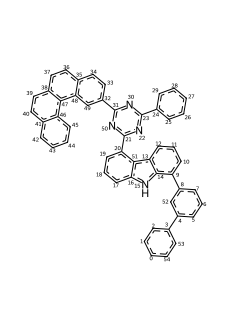 c1ccc(-c2cccc(-c3cccc4c3[nH]c3cccc(-c5nc(-c6ccccc6)nc(-c6ccc7ccc8ccc9ccccc9c8c7c6)n5)c34)c2)cc1